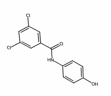 O=C(Nc1ccc(O)cc1)c1cc(Cl)cc(Cl)c1